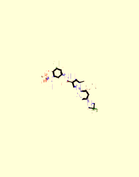 Cc1cc(C(=O)Nc2cc(Cl)cc(NS(C)(=O)=O)c2)cn1-c1ncc(N2CC(F)(F)C2)cc1C#N